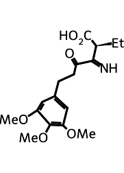 CC[C@@H](C(=N)C(=O)CCc1cc(OC)c(OC)c(OC)c1)C(=O)O